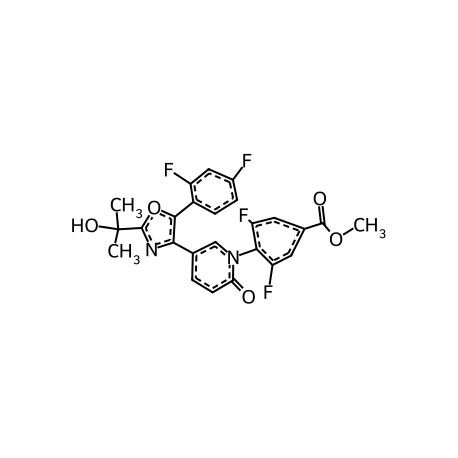 COC(=O)c1cc(F)c(-n2cc(-c3nc(C(C)(C)O)oc3-c3ccc(F)cc3F)ccc2=O)c(F)c1